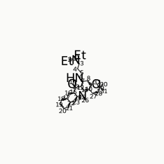 CCN(CC)CCCNc1cc2c(c3c1c(=O)c1cc4ccccc4cc1n3C)C=CC(C)(C)O2